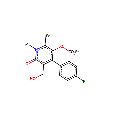 CCOC(=O)Oc1c(-c2ccc(F)cc2)c(CO)c(=O)n(C(C)C)c1C(C)C